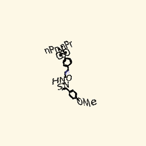 CCCN(CCC)S(=O)(=O)c1ccc(/C=C/C(=O)Nc2nc(-c3ccc(OC)cc3)cs2)cc1